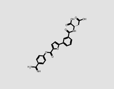 N=C(N)c1ccc(OC(=O)c2ccc(-c3cccc(C(=O)N[C@@H](CC(=O)O)C(=O)O)c3)o2)cc1